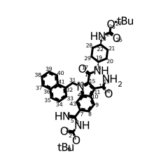 CC(C)(C)OC(=O)NC(=N)c1ccc2c(C(N)=O)c(C(=O)N[C@H]3CC[C@H](NC(=O)OC(C)(C)C)CC3)n(Cc3cccc4ccccc34)c2c1